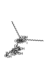 CCCCCCCCCCCCCCCC(=O)OC([C@H](CO)OC(=O)CCCCCCCCCCCCCCC)[C@@](C)(N)C(=O)N[C@@H](CCC(=O)N(CC(C)O[C@H]1[C@H](O)[C@@H](CO)O[C@H](O)[C@@H]1NC(C)=O)[C@@H](C)C(=O)O)C(N)=O.NCCO[PH](=O)O